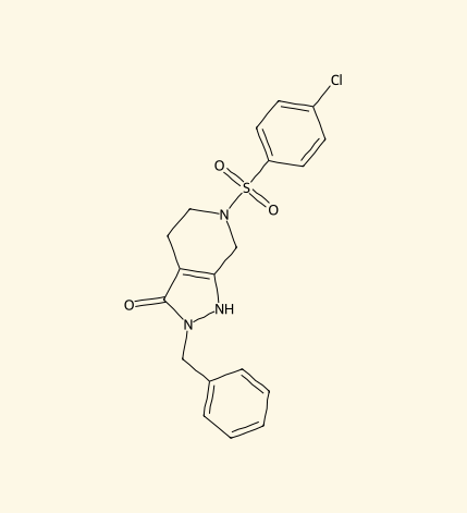 O=c1c2c([nH]n1Cc1ccccc1)CN(S(=O)(=O)c1ccc(Cl)cc1)CC2